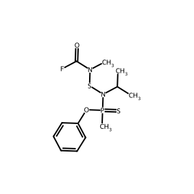 CC(C)N(SN(C)C(=O)F)P(C)(=S)Oc1ccccc1